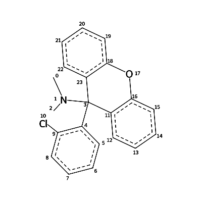 CN(C)C1(c2ccccc2Cl)c2ccccc2Oc2ccccc21